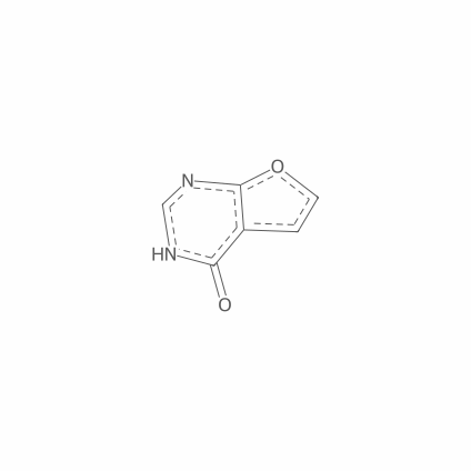 O=c1[nH]cnc2occc12